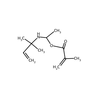 C=CC(C)(C)NC(C)OC(=O)C(=C)C